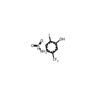 N[SH](=O)=O.Oc1cc(C(F)(F)F)ccc1I